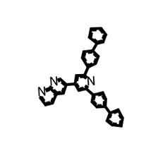 c1ccc(-c2ccc(-c3cc(-c4cnc5ncccc5c4)cc(-c4ccc(-c5ccccc5)cc4)n3)cc2)cc1